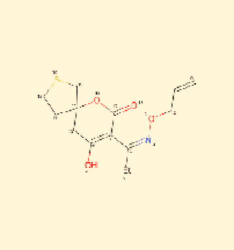 C=CCO/N=C(/CC)C1=C(O)CC2(CCSC2)OC1=O